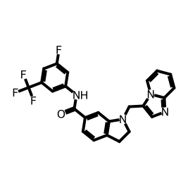 O=C(Nc1cc(F)cc(C(F)(F)F)c1)c1ccc2c(c1)N(Cc1cnc3ccccn13)CC2